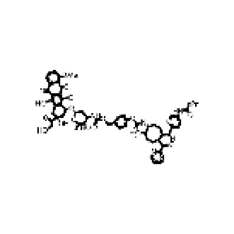 CCCC(=O)Nc1ccc(C2=NN=C(c3ncccn3)C3CCC(N)C(NC(=O)Oc4ccc(COC(=O)NC5C[C@H](O[C@H]6C[C@](O)(C(=O)CO)Cc7c(O)c8c(c(O)c76)C(=O)c6c(OC)cccc6C8=O)OC(C)[C@H]5O)cc4)CCC23)nc1